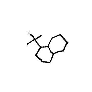 CC(C)(F)C1CCCC2CCCCC21